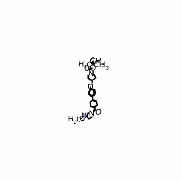 CO/N=C1\CCN(C(=O)C2CC=C(c3ccc(OCC4CCN(C(=O)OC(C)(C)C)CC4)cc3)CC2)C1